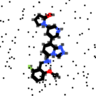 COc1cccc(F)c1CNc1ccc(-c2cncc(N3CCCC3=O)c2)c2nncn12